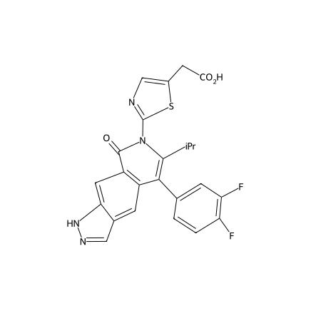 CC(C)c1c(-c2ccc(F)c(F)c2)c2cc3cn[nH]c3cc2c(=O)n1-c1ncc(CC(=O)O)s1